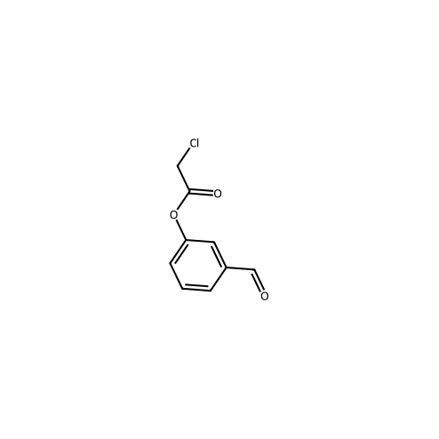 O=Cc1cccc(OC(=O)CCl)c1